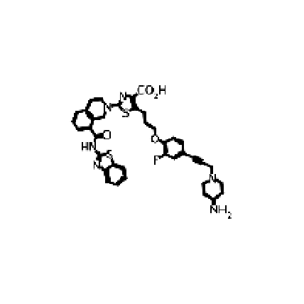 NC1CCN(CC#Cc2ccc(OCCCc3sc(N4CCc5cccc(C(=O)Nc6nc7ccccc7s6)c5C4)nc3C(=O)O)c(F)c2)CC1